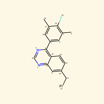 Cc1cc(-c2ncnc3cc(CC(C)C)ccc23)cc(C)c1F